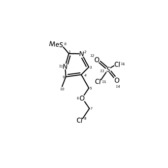 CSc1ncc(COCCl)c(C)n1.O=S(=O)(Cl)Cl